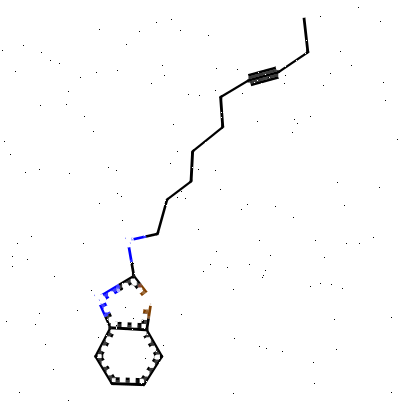 CCC#CCCCCCCNc1nc2ccccc2s1